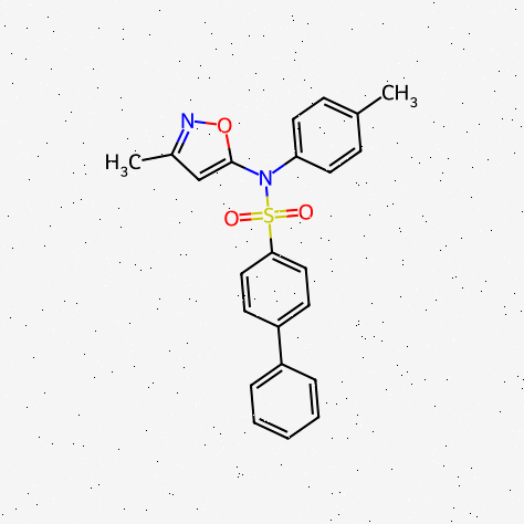 Cc1ccc(N(c2cc(C)no2)S(=O)(=O)c2ccc(-c3ccccc3)cc2)cc1